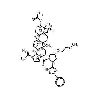 C=C(C)[C@@H]1CC[C@]2(C(=O)N3C[C@H](OCCOC)C[C@H]3c3nc(-c4ccccc4)c[nH]3)CC[C@]3(C)[C@H](CC[C@@H]4[C@@]5(C)CC[C@H](OC(C)=O)C(C)(C)[C@@H]5CC[C@]43C)[C@@H]12